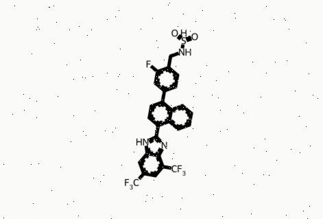 O=[SH](=O)NCc1ccc(-c2ccc(-c3nc4c(C(F)(F)F)cc(C(F)(F)F)cc4[nH]3)c3ccccc23)cc1F